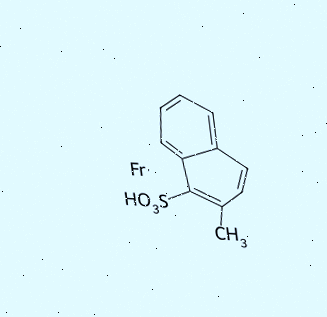 Cc1ccc2ccccc2c1S(=O)(=O)O.[Fr]